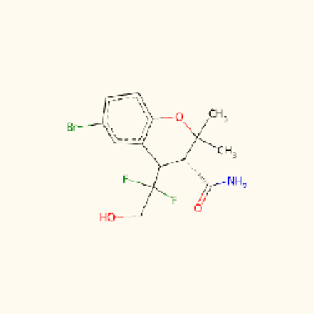 CC1(C)Oc2ccc(Br)cc2[C](C(F)(F)CO)[C@H]1C(N)=O